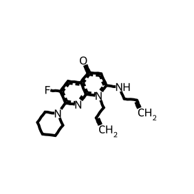 C=CCNc1cc(=O)c2cc(F)c(N3CCCCC3)nc2n1CC=C